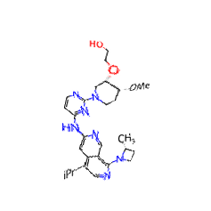 CO[C@@H]1CCN(c2nccc(Nc3cc4c(C(C)C)cnc(N5CC[C@H]5C)c4cn3)n2)C[C@@H]1OCCO